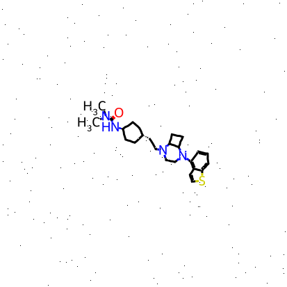 CN(C)C(=O)N[C@H]1CC[C@H](CCN2CCN(c3cccc4sccc34)C3CCC32)CC1